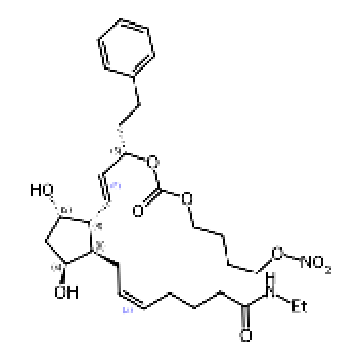 CCNC(=O)CCC/C=C\C[C@@H]1[C@@H](/C=C/[C@H](CCc2ccccc2)OC(=O)OCCCCO[N+](=O)[O-])[C@@H](O)C[C@@H]1O